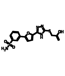 C=C(O)CSc1nnc(-c2ccc(-c3cccc(S(N)(=O)=O)c3)o2)[nH]1